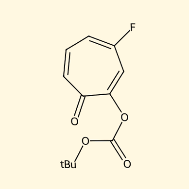 CC(C)(C)OC(=O)Oc1cc(F)cccc1=O